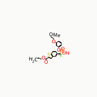 C=CCOC(=O)c1cc2cc([C@H](F)P(=O)(O)Oc3cccc(OCCOC)c3)ccc2s1